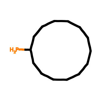 PC1CCCCCCCCCCCCC1